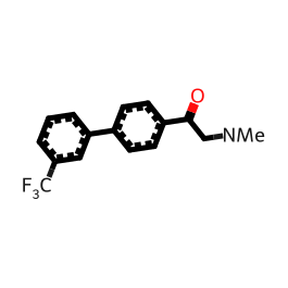 CNCC(=O)c1ccc(-c2cccc(C(F)(F)F)c2)cc1